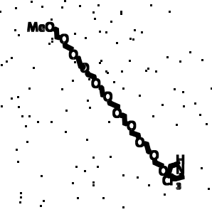 COCCOCCOCCOCCOCCOCCOCCOCCOCCOCCOC1(C(F)(F)F)CCNCC1